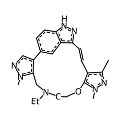 CCN1CCOc2c(c(C)nn2C)/C=C/c2n[nH]c3ccc(cc23)-c2cnn(C)c2C1